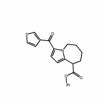 CC(C)OC(=O)C1CCCCn2c(C(=O)c3ccsc3)ccc21